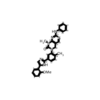 COc1ccccc1-c1cnc(-c2ccc(C)c(N3Cc4cnc(Nc5ccccc5)nc4N(C)C3=O)c2)[nH]1